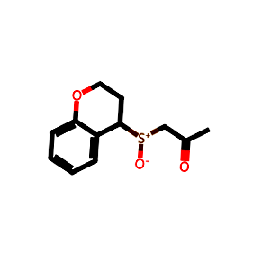 CC(=O)C[S+]([O-])C1CCOc2ccccc21